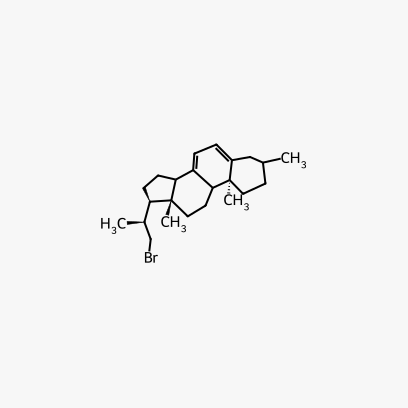 CC1CC[C@]2(C)C(=CC=C3C4CC[C@H]([C@H](C)CBr)[C@@]4(C)CCC32)C1